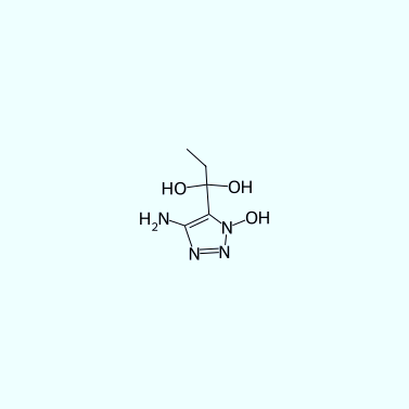 CCC(O)(O)c1c(N)nnn1O